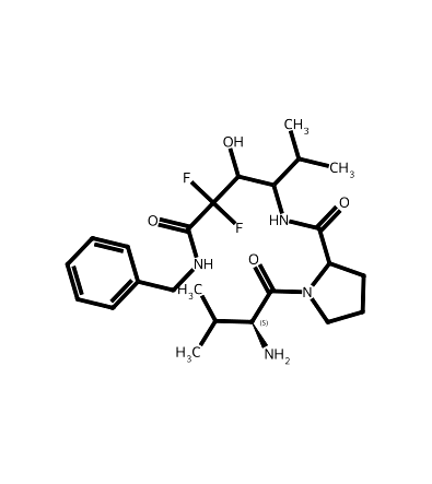 CC(C)C(NC(=O)C1CCCN1C(=O)[C@@H](N)C(C)C)C(O)C(F)(F)C(=O)NCc1ccccc1